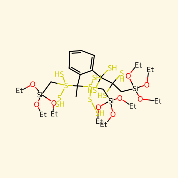 CCO[Si](CC(S)(S)C(S)(S)c1ccccc1C(C)(S(S)(C[Si](OCC)(OCC)OCC)SS)S(S)(C[Si](OCC)(OCC)OCC)SS)(OCC)OCC